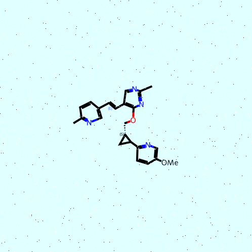 COc1ccc(C2C[C@@H]2COc2nc(C)ncc2/C=C/c2ccc(C)nc2)nc1